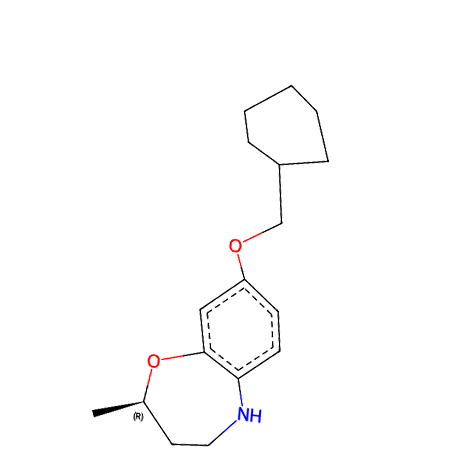 C[C@@H]1CCNc2ccc(OCC3CCCCC3)cc2O1